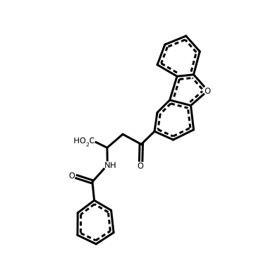 O=C(CC(NC(=O)c1ccccc1)C(=O)O)c1ccc2oc3ccccc3c2c1